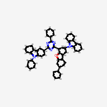 c1ccc(-c2ccc3c(c2)oc2c(-c4nc(-c5ccccc5)nc(-c5ccc6c(c5)c5ccccc5n6-c5ccccc5)n4)cc(-n4c5ccccc5c5ccccc54)cc23)cc1